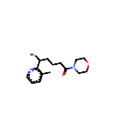 CCCC(CCCC(=O)N1CCOCC1)c1ncccc1C